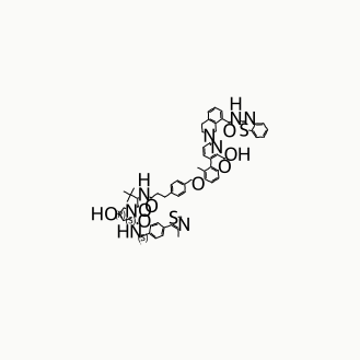 Cc1ncsc1-c1ccc([C@H](C)NC(=O)[C@@H]2C[C@@H](O)CN2C(=O)C(NC(=O)CCc2ccc(COc3cccc(-c4ccc(N5CCc6cccc(C(=O)Nc7nc8ccccc8s7)c6C5)nc4C(=O)O)c3C)cc2)C(C)(C)C)cc1